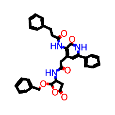 O=C(CCc1ccccc1)Nc1c(CC(=O)NC2CC(=O)OC2OCc2ccccc2)cc(-c2ccccc2)[nH]c1=O